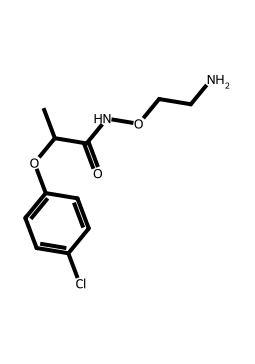 CC(Oc1ccc(Cl)cc1)C(=O)NOCCN